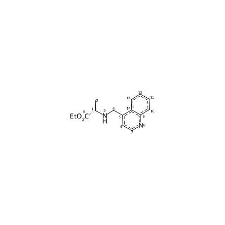 CCOC(=O)[C@H](C)NCc1ccnc2ccccc12